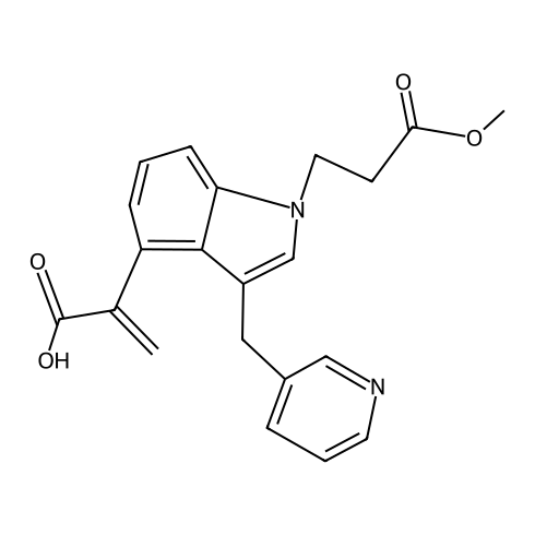 C=C(C(=O)O)c1cccc2c1c(Cc1cccnc1)cn2CCC(=O)OC